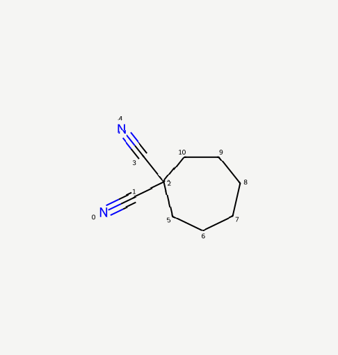 N#CC1(C#N)CCCCCC1